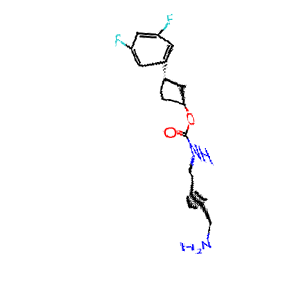 NCC#CCNC(=O)O[C@H]1C[C@H](c2cc(F)cc(F)c2)C1